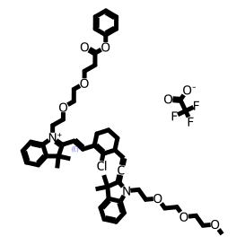 COCCOCCOCCN1C(=C=CC2CCCC(/C=C/C3=[N+](CCOCCOCCC(=O)Oc4ccccc4)c4ccccc4C3(C)C)=C2Cl)C(C)(C)c2ccccc21.O=C([O-])C(F)(F)F